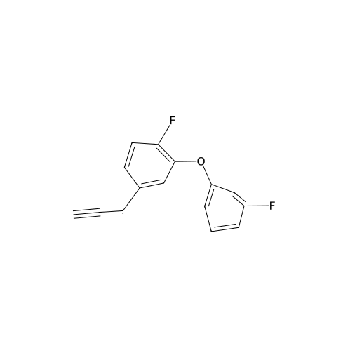 C#C[CH]c1ccc(F)c(Oc2cccc(F)c2)c1